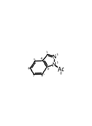 CC(=O)n1ncc2ccc[c]c21